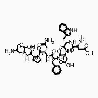 NC(=O)C[C@H](NC(=O)[C@@H]1CCCN1C(=O)[C@H](CC(N)=O)NC(=O)[C@H](Cc1ccccc1)NC(=O)[C@H](CC(=O)O)NC(=O)[C@H](Cc1c[nH]c2ccccc12)NC(=O)[C@@H](N)CC(=O)O)C(=O)O